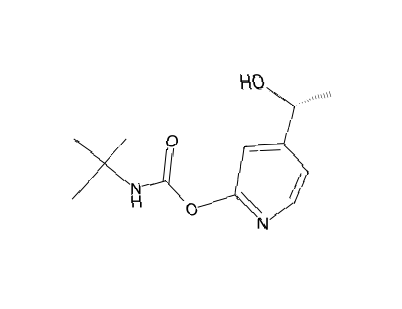 C[C@@H](O)c1ccnc(OC(=O)NC(C)(C)C)c1